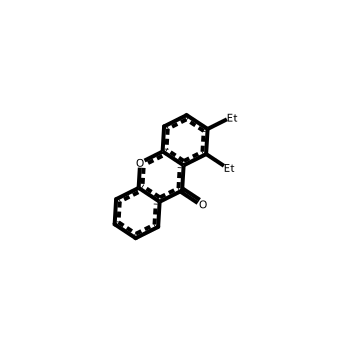 CCc1ccc2oc3ccccc3c(=O)c2c1CC